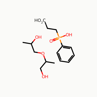 CC(O)COC(C)CO.O=C(O)CCP(=O)(O)c1ccccc1